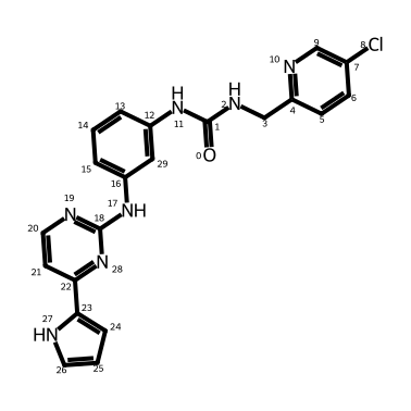 O=C(NCc1ccc(Cl)cn1)Nc1cccc(Nc2nccc(-c3ccc[nH]3)n2)c1